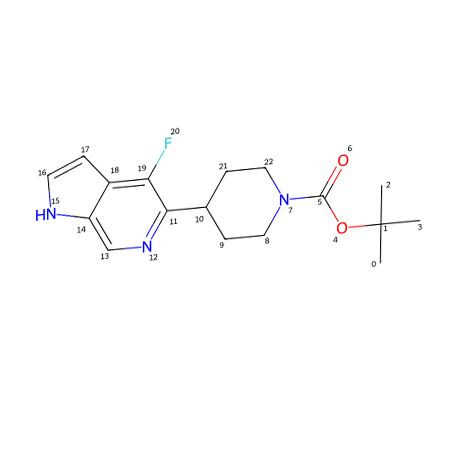 CC(C)(C)OC(=O)N1CCC(c2ncc3[nH]ccc3c2F)CC1